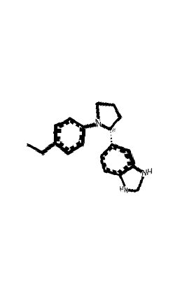 CCc1ccc(N2CCC[C@@H]2c2ccc3c(c2)NCN3)cc1